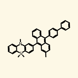 Cc1ccc2c(-c3ccc(-c4ccccc4)cc3)c3ccccc3c(-c3ccc4c(c3)N(C)c3ccccc3[Si]4(C)C)c2c1